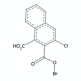 O=C(OBr)c1c(Cl)cc2ccccc2c1C(=O)O